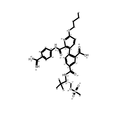 CCCCOc1ccc(-c2ccc(C(=O)N[C@H](COS(C)(=O)=O)C(C)(C)C)cc2C(=O)O)c(C(=O)Nc2ccc(C(=N)N)cc2)n1